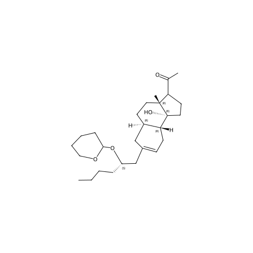 CCCC[C@@H](CC1=CC[C@@H]2[C@H](CC[C@]3(C)C(C(C)=O)CC[C@@]23O)C1)OC1CCCCO1